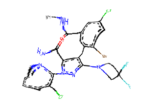 CC(C)NC(=O)c1cc(Cl)cc(Br)c1-c1c(N2CC(F)(F)C2)nn(-c2ncccc2Cl)c1C(N)=O